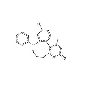 Cc1cc(=O)nc2n1-c1ccc(Cl)cc1C(c1ccccc1)=NCC2